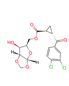 O=C(OC[C@H]1O[C@@H]2OCO[C@@H]2[C@H]1O)[C@H]1C[C@@H]1C(=O)c1ccc(Cl)c(Cl)c1